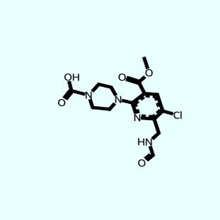 COC(=O)c1cc(Cl)c(CNC=O)nc1N1CCN(C(=O)O)CC1